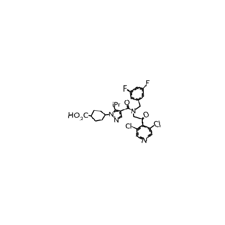 CC(C)c1c(C(=O)N(CC(=O)c2c(Cl)cncc2Cl)Cc2cc(F)cc(F)c2)cnn1C1CCC(C(=O)O)CC1